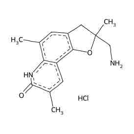 Cc1cc2c3c(cc(C)c2[nH]c1=O)CC(C)(CN)O3.Cl